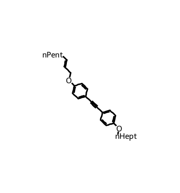 CCCCCC=CCOc1ccc(C#Cc2ccc(OCCCCCCC)cc2)cc1